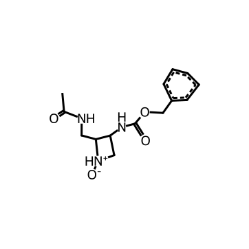 CC(=O)NCC1C(NC(=O)OCc2ccccc2)C[NH+]1[O-]